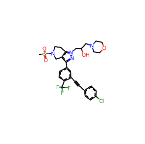 CS(=O)(=O)N1CCc2c(c(-c3ccc(C(F)(F)F)c(C#Cc4ccc(Cl)cc4)c3)nn2CC(O)CN2CCOCC2)C1